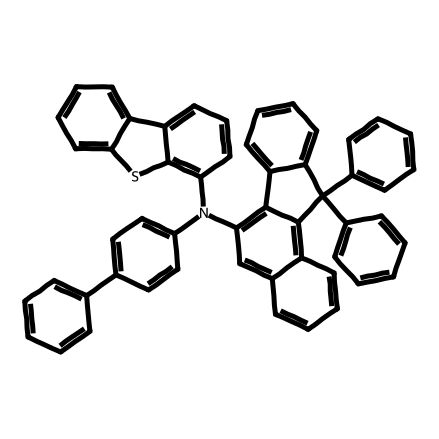 c1ccc(-c2ccc(N(c3cc4ccccc4c4c3-c3ccccc3C4(c3ccccc3)c3ccccc3)c3cccc4c3sc3ccccc34)cc2)cc1